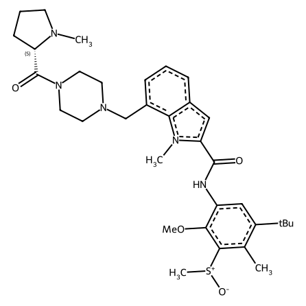 COc1c(NC(=O)c2cc3cccc(CN4CCN(C(=O)[C@@H]5CCCN5C)CC4)c3n2C)cc(C(C)(C)C)c(C)c1[S+](C)[O-]